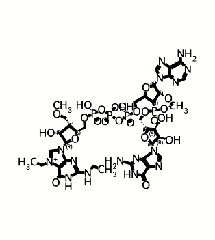 CCNc1nc2c(c(=O)[nH]1)[n+](CC)cn2[C@@H]1O[C@H](COP(=O)(O)OP(=O)(O)OP(=O)(O)OCC2O[C@@H](n3cnc4c(N)ncnc43)[C@H](OC)[C@@H]2P(=O)([O-])OC[C@H]2O[C@@H](n3cnc4c(=O)[nH]c(N)nc43)[C@H](O)[C@@H]2O)[C@@H](COC)[C@H]1O